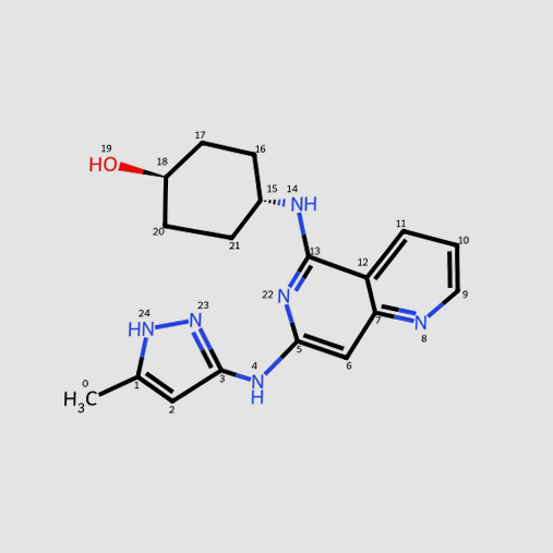 Cc1cc(Nc2cc3ncccc3c(N[C@H]3CC[C@H](O)CC3)n2)n[nH]1